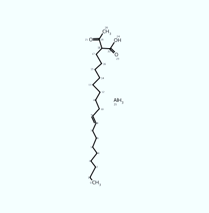 CCCCCCCCC=CCCCCCCCCC(C(C)=O)C(=O)O.[AlH3]